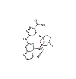 N#CCCN1[C@@H]2CC[C@H]1C[C@H](Nc1nc(Nc3ccc(C(N)=O)nn3)cc3ncccc13)C2